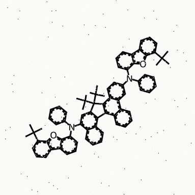 CC(C)(C)c1cccc2c1oc1c(N(c3ccccc3)c3ccc4c5c(c6ccccc6c4c3)-c3c(cc(N(c4ccccc4)c4cccc6c4oc4c(C(C)(C)C)cccc46)c4ccccc34)C5(C(C)(C)C)C(C)(C)C)cccc12